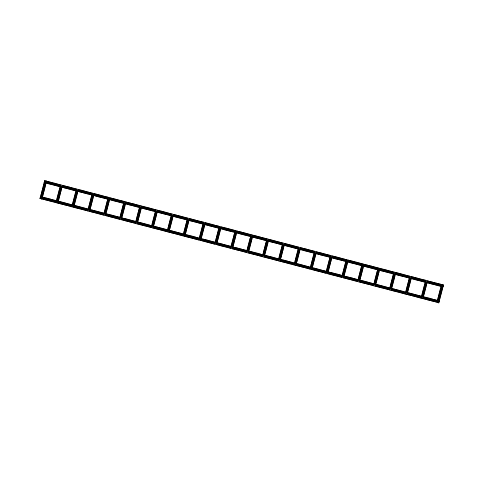 C1CC2C1C1C2C2C1C1C2C2C1C1C2C2C1C1C2C2C1C1C2C2C1C1C2C2C3C4C5C6C7C8C9C%10C%11C%12C%13CCC%13C%12C%11C%10C9C8C7C6C5C4C3C12